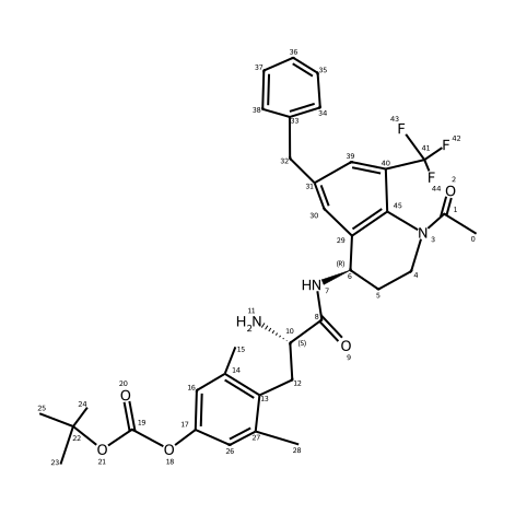 CC(=O)N1CC[C@@H](NC(=O)[C@@H](N)Cc2c(C)cc(OC(=O)OC(C)(C)C)cc2C)c2cc(Cc3ccccc3)cc(C(F)(F)F)c21